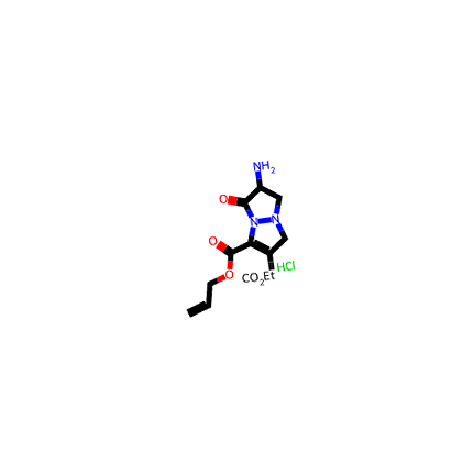 C=CCOC(=O)C1=C(C(=O)OCC)CN2CC(N)C(=O)N12.Cl